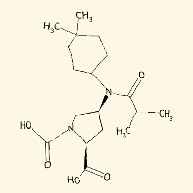 CC(C)C(=O)N(C1CCC(C)(C)CC1)[C@H]1C[C@@H](C(=O)O)N(C(=O)O)C1